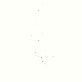 CCOC(=O)C1CC=C(c2ccc3cc(OC)ccc3c2)CC1